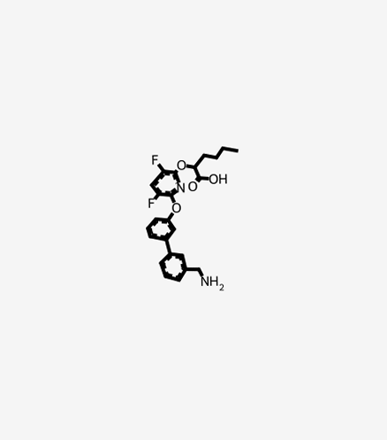 CCCCC(Oc1nc(Oc2cccc(-c3cccc(CN)c3)c2)c(F)cc1F)C(=O)O